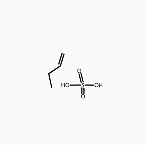 C=CCC.O=S(=O)(O)O